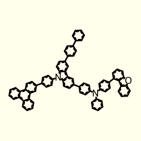 c1ccc(-c2ccc(-c3ccc4c(c3)c3cc(-c5ccc(N(c6ccccc6)c6ccc(-c7cccc8oc9ccccc9c78)cc6)cc5)ccc3n4-c3ccc(-c4ccc5c6ccccc6c6ccccc6c5c4)cc3)cc2)cc1